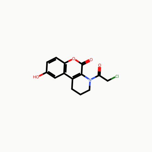 O=C(CCl)N1CCCc2c1c(=O)oc1ccc(O)cc21